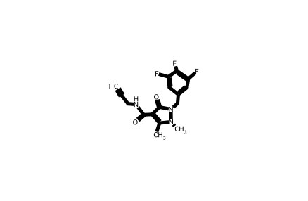 C#CCNC(=O)c1c(C)n(C)n(Cc2cc(F)c(F)c(F)c2)c1=O